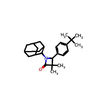 CC(C)(C)c1ccc(C2N(C3C4CC5CC(C4)CC3C5)C(=O)C2(C)C)cc1